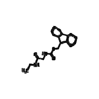 CCNC(=O)CNC(=O)OCC1c2ccccc2-c2ccccc21